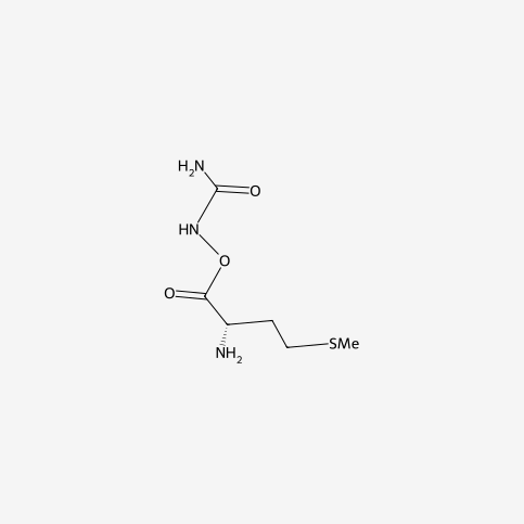 CSCC[C@H](N)C(=O)ONC(N)=O